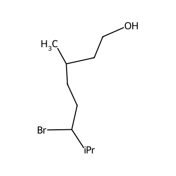 CC(CCO)CCC(Br)C(C)C